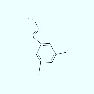 CO/N=C/c1cc(F)[c]c(F)c1